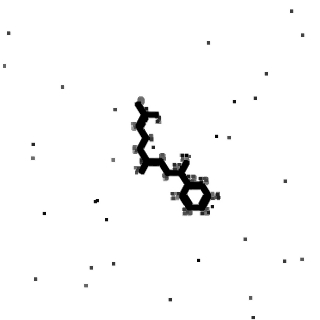 CC(C)=CCC/C(C)=C/CC(C)c1ccccc1